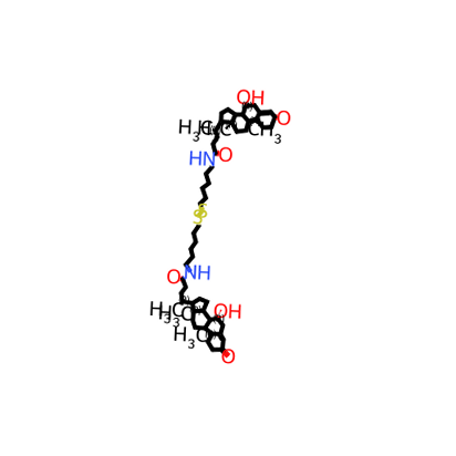 C[C@H](CCC(=O)NCCCCCCSSCCCCCCNC(=O)CC[C@@H](C)C1CCC2C3C(CC[C@@]21C)[C@@]1(C)CCC(=O)C=C1C[C@H]3O)C1CCC2C3C(CC[C@@]21C)[C@@]1(C)CCC(=O)C=C1C[C@H]3O